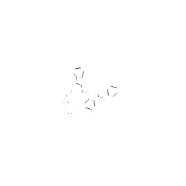 CN(C)CCSc1cc(NC(=O)c2sc3ccccc3c2SCCN(C)C)c(C(=O)Nc2ccc(Cl)cc2)cc1F